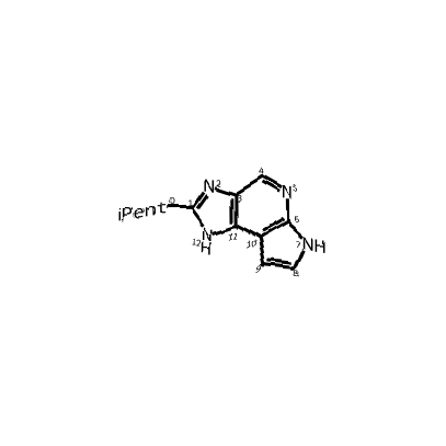 CCCC(C)c1nc2cnc3[nH]ccc3c2[nH]1